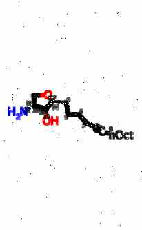 CCCCCCCCCCCCCC[C@@H]1OC[C@@H](N)[C@@H]1O